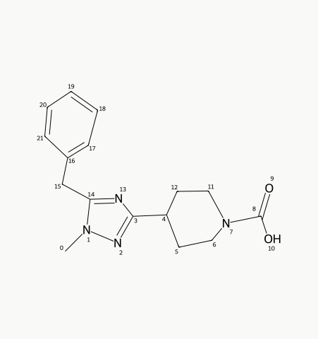 Cn1nc(C2CCN(C(=O)O)CC2)nc1Cc1ccccc1